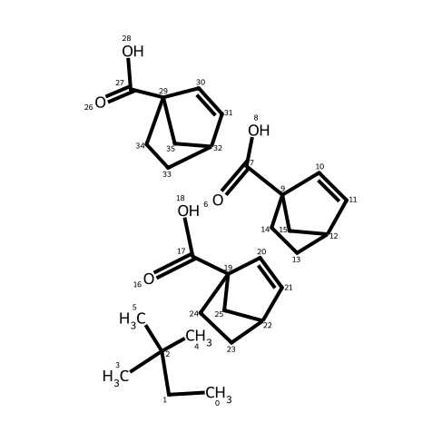 CCC(C)(C)C.O=C(O)C12C=CC(CC1)C2.O=C(O)C12C=CC(CC1)C2.O=C(O)C12C=CC(CC1)C2